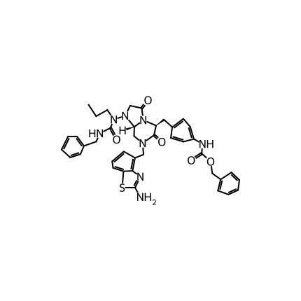 CCCN(C(=O)NCc1ccccc1)N1CC(=O)N2[C@@H](Cc3ccc(NC(=O)OCc4ccccc4)cc3)C(=O)N(Cc3cccc4sc(N)nc34)C[C@@H]21